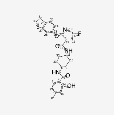 Cc1ccc(C(=O)N[C@H]2CC[C@@H](NC(=O)c3cc(F)cnc3Oc3ccc4c(c3)SCC4)CC2)c(O)c1